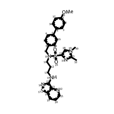 COc1ccc(-c2ccc(CN(CCCNc3nsc4cccnc34)S(=O)(=O)c3cn(C)c(C)n3)cc2)cc1